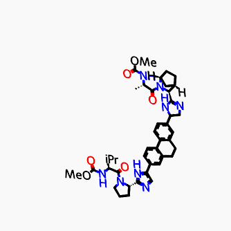 COC(=O)N[C@@H](C)C(=O)N1[C@@H]2CC[C@@H](C2)[C@H]1C1=NCC(c2ccc3c(c2)CCc2cc(-c4cnc([C@@H]5CCCN5C(=O)[C@@H](NC(=O)OC)C(C)C)[nH]4)ccc2-3)N1